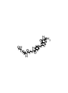 CC(C)(CCOCCO)NC(=O)CCCNC(=O)c1ccc(NCc2cnc3nc(N)[nH]c(=O)c3n2)cc1